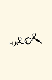 CC#CC(=O)N1CCN(CC(N)=O)CC1